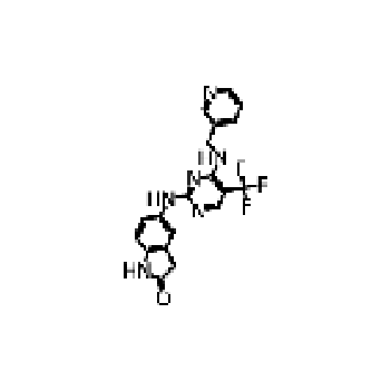 O=C1Cc2cc(Nc3ncc(C(F)(F)F)c(NCc4cccnc4)n3)ccc2N1